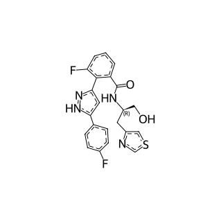 O=C(N[C@@H](CO)Cc1cscn1)c1cccc(F)c1-c1cc(-c2ccc(F)cc2)[nH]n1